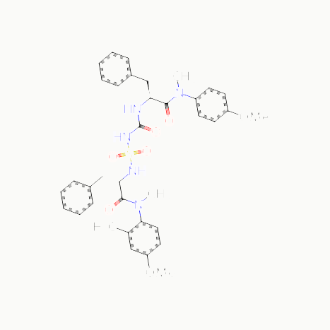 COc1ccc(N(C)C(=O)[C@H](Cc2ccccc2)NC(=O)NS(=O)(=O)N[C@@H](Cc2ccccc2)C(=O)N(C)c2ccc(OC)cc2C)cc1